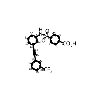 O=C(O)c1ccc(S(=O)(=O)Nc2cccc(C#Cc3cccc(C(F)(F)F)c3)c2)cc1